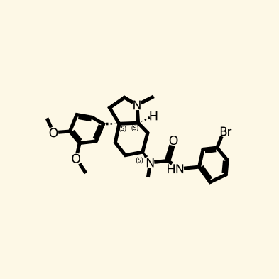 COc1ccc([C@@]23CC[C@H](N(C)C(=O)Nc4cccc(Br)c4)C[C@@H]2N(C)CC3)cc1OC